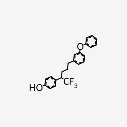 Oc1ccc(C(CCCc2cccc(Oc3ccccc3)c2)C(F)(F)F)cc1